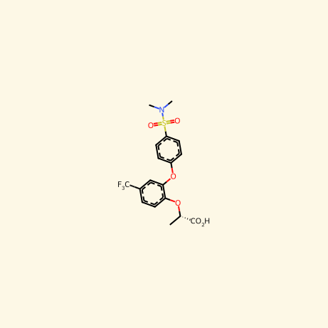 C[C@H](Oc1ccc(C(F)(F)F)cc1Oc1ccc(S(=O)(=O)N(C)C)cc1)C(=O)O